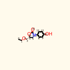 CCOC[C@H]1CN(c2ccc(O)cc2)C(=O)O1